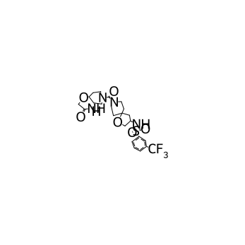 O=C1COC2CCN(C(=O)N3CCC4(CC3)C[C@@H](NS(=O)(=O)c3cccc(C(F)(F)F)c3)CO4)C[C@H]2N1